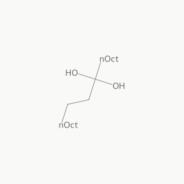 CCCCCCCCCCC(O)(O)CCCCCCCC